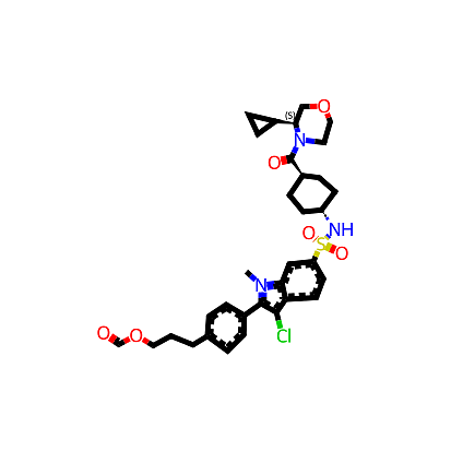 Cn1c(-c2ccc(CCCOC=O)cc2)c(Cl)c2ccc(S(=O)(=O)N[C@H]3CC[C@H](C(=O)N4CCOC[C@@H]4C4CC4)CC3)cc21